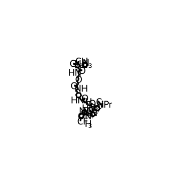 CC(C)N(C)[C@@H]1CC[C@H](N2CC[C@H](Nc3ncnc4ccc(C(F)(F)F)cc34)C2=O)[C@H](NC(=O)CCCC(=O)NC2CCC(CNC(=O)CCOCCNC(=O)[C@H]3CC(=O)N(C)[C@@H]3c3cccnc3)CC2)C1